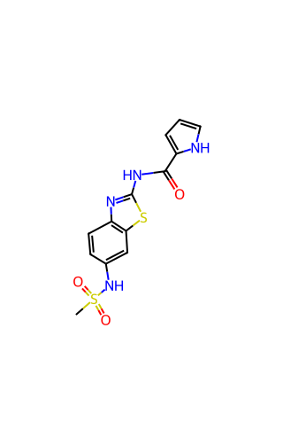 CS(=O)(=O)Nc1ccc2nc(NC(=O)c3ccc[nH]3)sc2c1